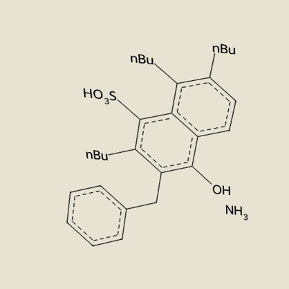 CCCCc1ccc2c(O)c(Cc3ccccc3)c(CCCC)c(S(=O)(=O)O)c2c1CCCC.N